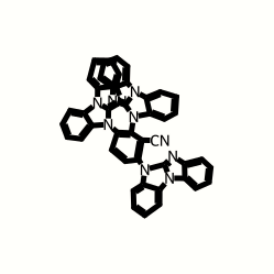 N#Cc1c(-n2c3ccccc3n3c4ccccc4nc23)ccc(-n2c3ccccc3n3c4ccccc4nc23)c1-n1c2ccccc2n2c3ccccc3nc12